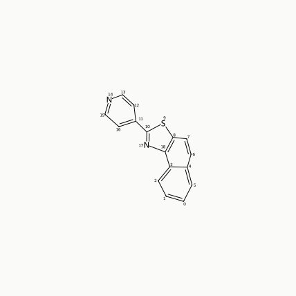 c1ccc2c(c1)ccc1sc(-c3ccncc3)nc12